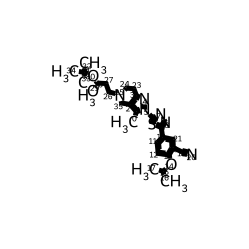 Cc1c2c(nn1-c1nnc(-c3ccc(OC(C)C)c(C#N)c3)s1)CCN(CCC(=O)OC(C)(C)C)C2